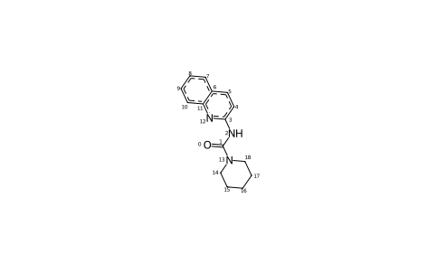 O=C(Nc1ccc2ccccc2n1)N1CCCCC1